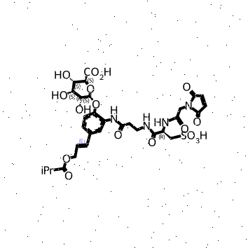 CC(C)C(=O)OC/C=C/c1ccc(O[C@@H]2O[C@H](C(=O)O)[C@@H](O)[C@H](O)[C@H]2O)c(NC(=O)CCNC(=O)[C@H](CS(=O)(=O)O)NC(=O)CN2C(=O)C=CC2=O)c1